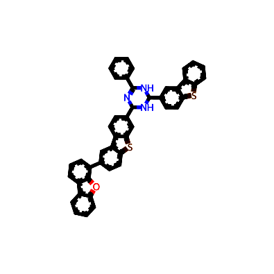 c1ccc(C2=NC(c3ccc4c(c3)sc3ccc(-c5cccc6c5oc5ccccc56)cc34)NC(c3ccc4sc5ccccc5c4c3)N2)cc1